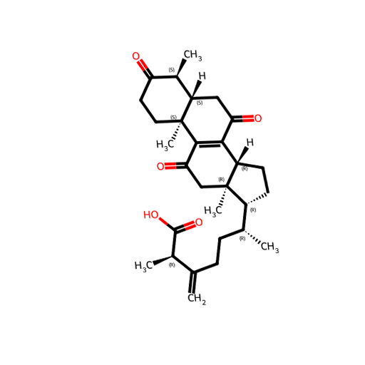 C=C(CC[C@@H](C)[C@H]1CC[C@H]2C3=C(C(=O)C[C@]12C)[C@@]1(C)CCC(=O)[C@@H](C)[C@@H]1CC3=O)[C@@H](C)C(=O)O